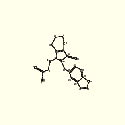 O=C(O)CSC1C2=C(CCCC2)C(=O)N1Cc1ccc2occc2c1